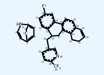 C1=CC2=CC=C(CC2)N1.Fc1ccc2c(c1)-c1ccc3c(c1CC2Cc1ccc(C(F)(F)F)nc1)CCC=C3